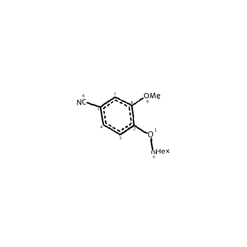 CCCCCCOc1ccc(C#N)cc1OC